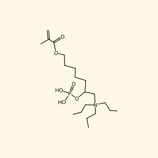 C=C(C)C(=O)OCCCCCC(C[N+](CCC)(CCC)CCC)OP(=O)(O)O